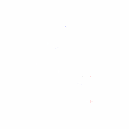 Cc1cc(/C(CC(c2ccc(C(=O)NCCO)cc2)c2ccc(F)cc2F)=N\O)ccn1